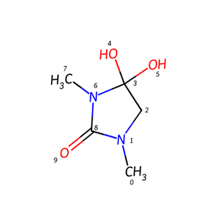 CN1CC(O)(O)N(C)C1=O